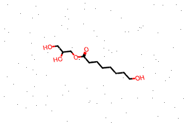 O=C(CCCCCCCO)OCC(O)CO